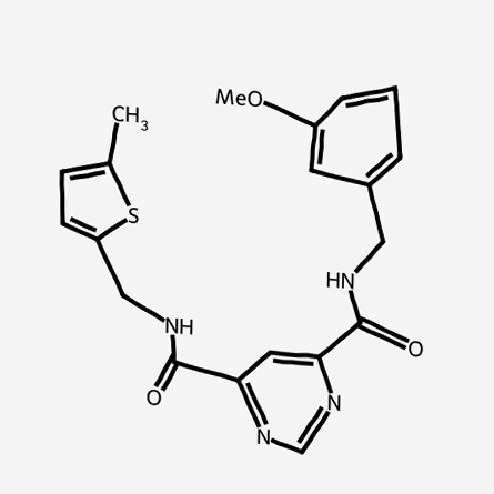 COc1cccc(CNC(=O)c2cc(C(=O)NCc3ccc(C)s3)ncn2)c1